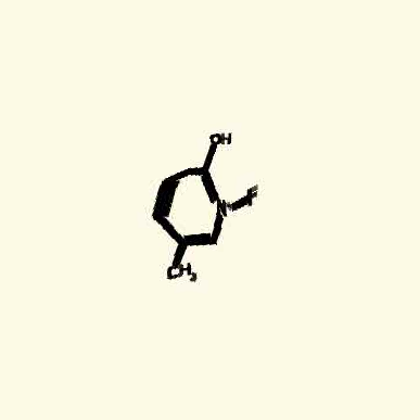 Cc1ccc(O)[n+](F)c1